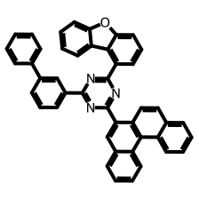 c1ccc(-c2cccc(-c3nc(-c4cc5ccccc5c5c4ccc4ccccc45)nc(-c4cccc5oc6ccccc6c45)n3)c2)cc1